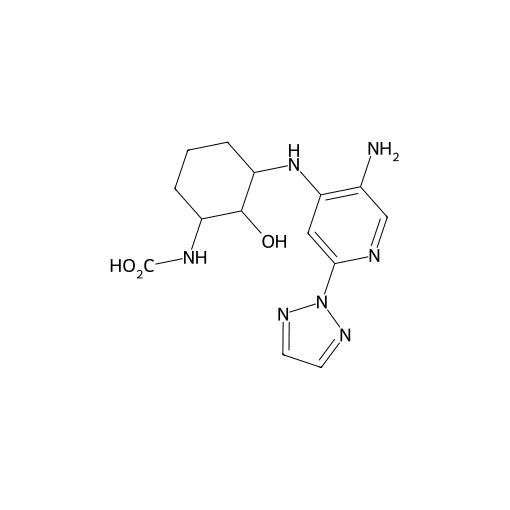 Nc1cnc(-n2nccn2)cc1NC1CCCC(NC(=O)O)C1O